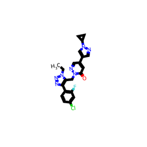 CCn1nnc(-c2ccc(Cl)cc2F)c1Cn1ncc(-c2cnn(C3CC3)c2)cc1=O